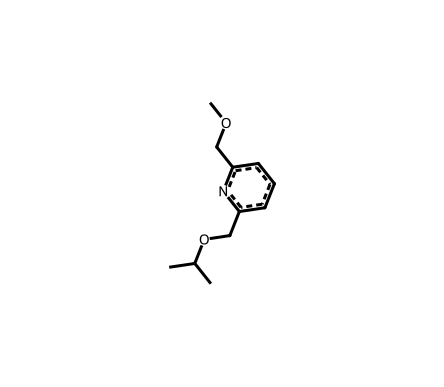 COCc1cccc(COC(C)C)n1